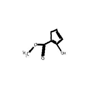 COC(=O)C1=C(O)C=CC1